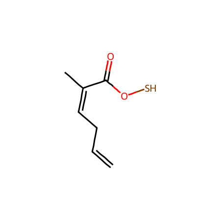 C=CCC=C(C)C(=O)OS